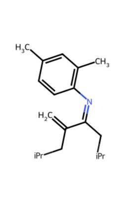 C=C(CC(C)C)/C(CC(C)C)=N\c1ccc(C)cc1C